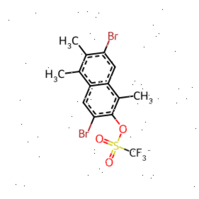 Cc1c(Br)cc2c(C)c(OS(=O)(=O)C(F)(F)F)c(Br)cc2c1C